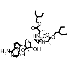 CCC(CC)COC(=O)[C@H](C)NP(=O)(N[C@@H](C)C(=O)OCC(CC)CC)OC[C@H]1O[C@@H](c2ccc3c(N)ncnn23)[C@](C)(O)[C@@H]1O